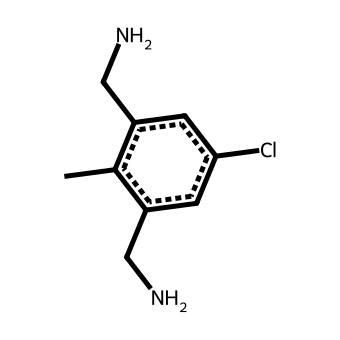 Cc1c(CN)cc(Cl)cc1CN